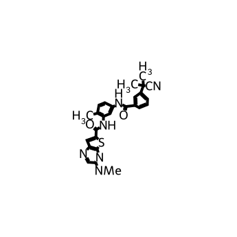 CNc1cnc2cc(C(=O)Nc3cc(NC(=O)c4cccc(C(C)(C)C#N)c4)ccc3C)sc2n1